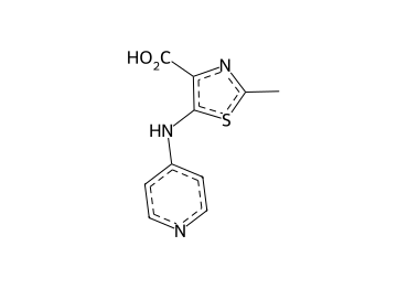 Cc1nc(C(=O)O)c(Nc2ccncc2)s1